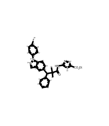 CCOC(=O)c1nnc(NC(=O)C(C)(C)C(c2ccccc2)c2ccc3c(cnn3-c3ccc(F)cc3)c2)s1